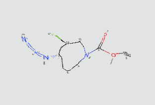 CC(C)(C)OC(=O)N1CC[C@H](N=[N+]=[N-])[C@@H](F)C1